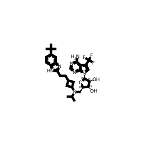 CC(C)N(C[C@H]1O[C@@H](n2cc(C(F)(F)F)c3c(N)ncnc32)[C@H](O)[C@@H]1O)C1CC(CCc2nc3cc(C(C)(C)C)ccc3[nH]2)C1